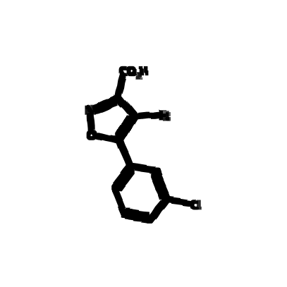 CCc1c(C(=O)O)noc1-c1cccc(Cl)c1